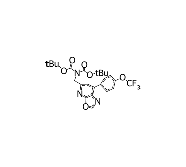 CC(C)(C)OC(=O)N(Cc1cc(-c2ccc(OC(F)(F)F)cc2)c2ncoc2n1)C(=O)OC(C)(C)C